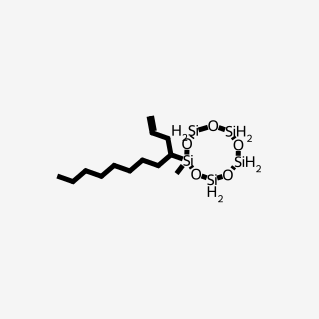 C=CCC(CCCCCCCC)[Si]1(C)O[SiH2]O[SiH2]O[SiH2]O[SiH2]O1